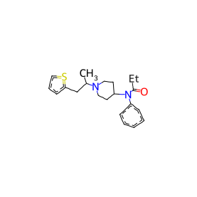 CCC(=O)N(c1ccccc1)C1CCN(C(C)Cc2cccs2)CC1